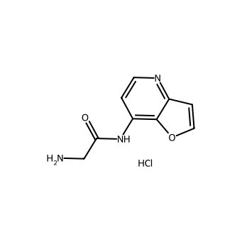 Cl.NCC(=O)Nc1ccnc2ccoc12